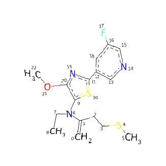 C=C(CCSC)N(CC)c1sc(-c2cncc(F)c2)nc1OC